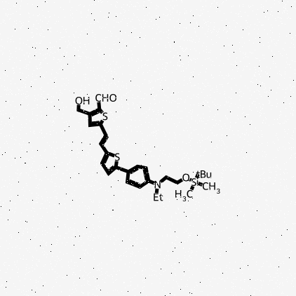 CCN(CCO[Si](C)(C)C(C)(C)C)c1ccc(-c2ccc(C=Cc3cc(CO)c(C=O)s3)s2)cc1